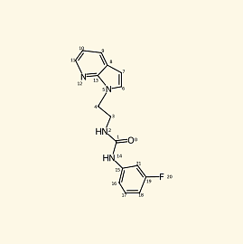 O=C(NCCn1ccc2cccnc21)Nc1cccc(F)c1